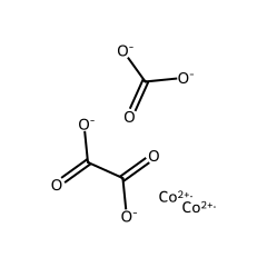 O=C([O-])C(=O)[O-].O=C([O-])[O-].[Co+2].[Co+2]